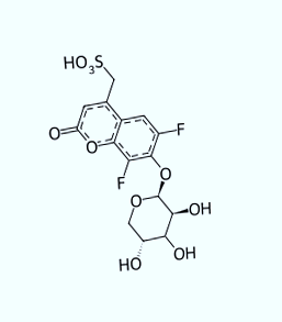 O=c1cc(CS(=O)(=O)O)c2cc(F)c(O[C@@H]3OC[C@@H](O)C(O)[C@@H]3O)c(F)c2o1